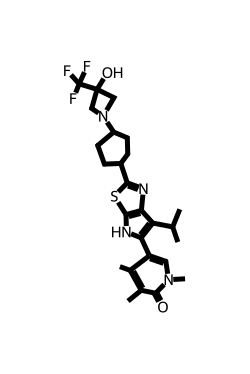 Cc1c(-c2[nH]c3sc(C4CCC(N5CC(O)(C(F)(F)F)C5)CC4)nc3c2C(C)C)cn(C)c(=O)c1C